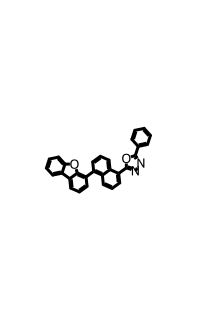 c1ccc(-c2nnc(-c3cccc4c(-c5cccc6c5oc5ccccc56)cccc34)o2)cc1